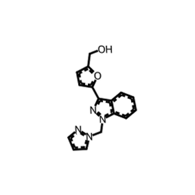 OCc1ccc(-c2nn(Cn3cccn3)c3ccccc23)o1